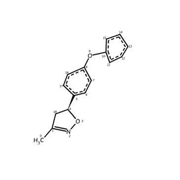 CC1=NO[C@H](c2ccc(Oc3ccccc3)cc2)C1